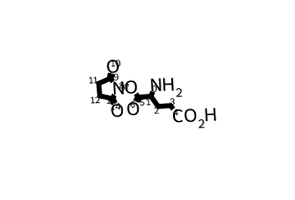 NC(CCC(=O)O)C(=O)ON1C(=O)CCC1=O